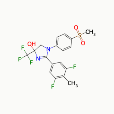 Cc1c(F)cc(C2=NC(O)(C(F)(F)F)CN2c2ccc(S(C)(=O)=O)cc2)cc1F